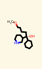 COCCCC[C@@](O)(C1CCCCC1)C1CCCNC1